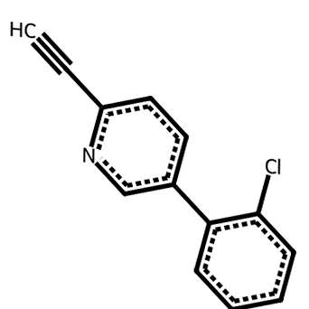 C#Cc1ccc(-c2ccccc2Cl)cn1